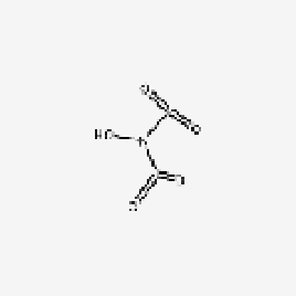 O=I(=O)N(O)I(=O)=O